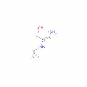 C=CNC(=CN)CO